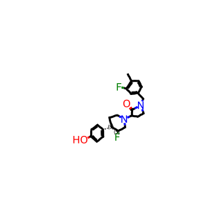 Cc1ccc(CN2CCC(N3CC[C@@H](c4ccc(O)cc4)[C@H](F)C3)C2=O)cc1F